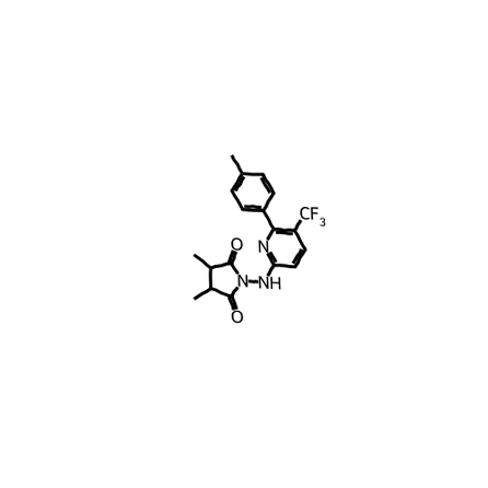 Cc1ccc(-c2nc(NN3C(=O)C(C)C(C)C3=O)ccc2C(F)(F)F)cc1